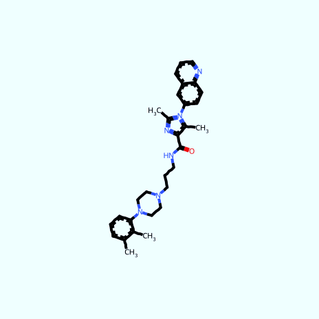 Cc1cccc(N2CCN(CCCNC(=O)c3nc(C)n(-c4ccc5ncccc5c4)c3C)CC2)c1C